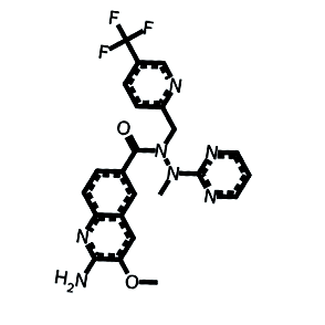 COc1cc2cc(C(=O)N(Cc3ccc(C(F)(F)F)cn3)N(C)c3ncccn3)ccc2nc1N